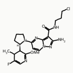 COC1=NC=C(F)C(C)C1[C@H]1CCCN1c1ccn2nc(N)c(C(=O)NCCCCl)c2n1